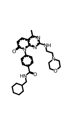 Cc1nc(NCCN2CCOCC2)nc2c1ccc(=O)n2-c1ccc(C(=O)NCC2CCCCC2)cc1